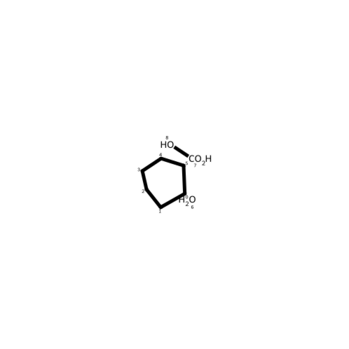 C1CCCCC1.O.O=C(O)O